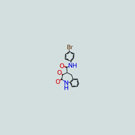 O=C1Nc2ccccc2CC(C(=O)Nc2ccc(Br)cc2)C1=O